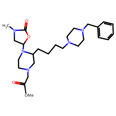 COC(=O)CN1CCN(C2CN(C)C(=O)O2)C(CCCCN2CCN(Cc3ccccc3)CC2)C1